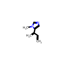 C=CC(=C)c1cncn1C